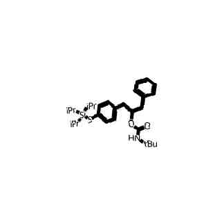 CC(C)[Si](Sc1ccc(CC(Cc2ccccc2)OC(=O)NC(C)(C)C)cc1)(C(C)C)C(C)C